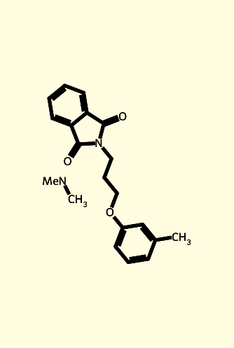 CNC.Cc1cccc(OCCCN2C(=O)c3ccccc3C2=O)c1